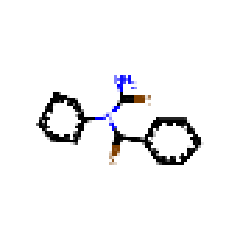 NC(=S)N(C(=S)c1ccccc1)c1ccccc1